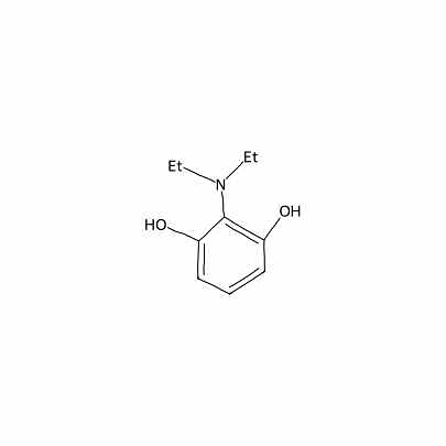 CCN(CC)c1c(O)cccc1O